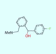 CNCc1ccccc1C(O)c1ccc(F)cc1